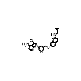 Nc1ncnc2c1c(Cl)cn2-c1cncc(COc2ccc3ccc(NCC4CC4)nc3c2)c1